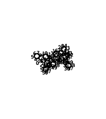 CC1(C)c2ccccc2-c2ccc(N(c3ccc4c(c3)C3(c5ccccc5-4)c4ccccc4N(c4ccccc4)c4ccccc43)c3cccc4c3oc3ccccc34)cc21